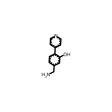 NCc1ccc(-c2ccncc2)c(O)c1